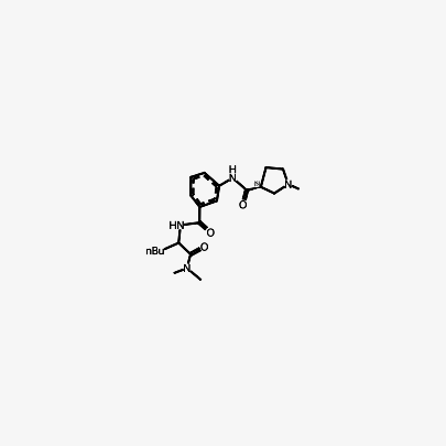 CCCCC(NC(=O)c1cccc(NC(=O)[C@H]2CCN(C)C2)c1)C(=O)N(C)C